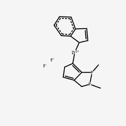 CP1CC2=CC[C]([Zr+2][CH]3C=Cc4ccccc43)=C2P1C.[F-].[F-]